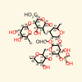 CC1O[C@H](O[C@@H]2C(OC=O)O[C@@H](O[C@@H]3C(C)O[C@H](C)C[C@H]3O)C(OS(=O)O)[C@H]2O)CC[C@@H]1O[C@@H]1O[C@@H](C(=O)O)[C@@H](O[C@@H]2C[C@@H](O)[C@H](O)[C@H](C)O2)[C@H](O)C1C